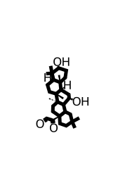 CC1(C)CC[C@]2(C(=O)C=O)CC[C@]3(C)C(C2C1)[C@H](O)C[C@@H]1[C@@]2(C)CC[C@H](O)C(C)(C)[C@@H]2CC[C@]13C